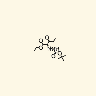 CCOC(=O)C(=NNC(=O)OC(C)(C)C)C(=O)CC